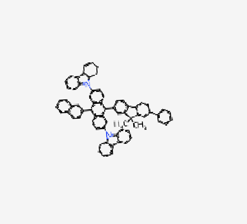 CC1(C)c2cc(-c3ccccc3)ccc2-c2ccc(-c3c4ccc(-n5c6c(c7ccccc75)C=CCC6)cc4c(-c4ccc5ccccc5c4)c4ccc(-n5c6ccccc6c6ccccc65)cc34)cc21